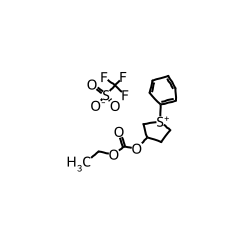 CCOC(=O)OC1CC[S+](c2ccccc2)C1.O=S(=O)([O-])C(F)(F)F